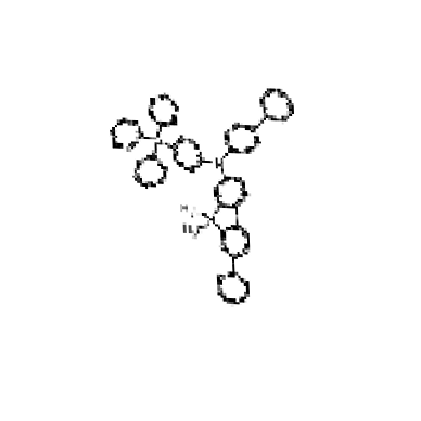 CC1(C)c2cc(-c3ccccc3)ccc2-c2ccc(N(c3ccc(-c4ccccc4)cc3)c3ccc([Si](c4ccccc4)(c4ccccc4)c4ccccc4)cc3)cc21